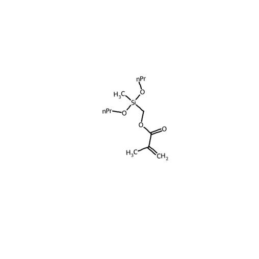 C=C(C)C(=O)OC[Si](C)(OCCC)OCCC